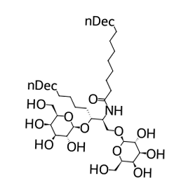 CCCCCCCCCCCCCCCCCC(=O)N[C@@H](CO[C@@H]1O[C@H](CO)[C@H](O)[C@H](O)[C@H]1O)[C@@H](CCCCCCCCCCCCCC)O[C@@H]1O[C@H](CO)[C@H](O)[C@H](O)[C@H]1O